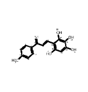 Cc1ccc(C(=S)C=Cc2c(O)cc(O)c(O)c2O)cc1